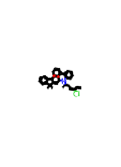 C=C/C(Cl)=C\C=C(/C)N(c1ccc2c(c1)C(C)(C)c1ccccc1-2)c1ccccc1-c1ccccc1